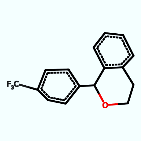 FC(F)(F)c1ccc(C2OCCc3ccccc32)cc1